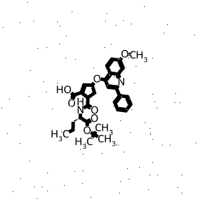 CCC[C@H](NC(=O)C1CC(Oc2cc(-c3ccccc3)nc3cc(OC)ccc23)C=C1C(=O)O)C(=O)OC(C)(C)C